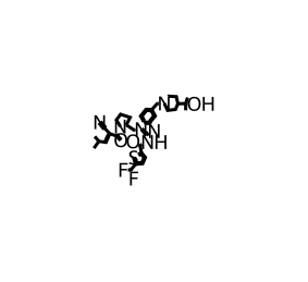 CC(C)C=C(C#N)C(=O)N1CCCC1Cn1c(NC(=O)c2ccc(C(F)F)s2)nc2cc(CN3CCC(C(C)(C)O)CC3)ccc21